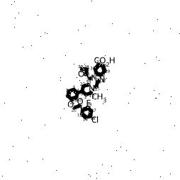 CC1CC(c2cccc3c2O[C@H](c2ccc(Cl)cc2F)CO3)CCN1Cc1nc2ccc(C(=O)O)cc2n1C[C@@H]1CCO1